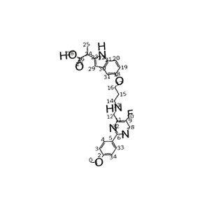 COc1ccc(-c2ncc(F)c(CNCCCOc3ccc4[nH]c(C(C)C(=O)O)cc4c3)n2)cc1